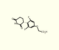 O=C(O)COc1cc(F)c([C@H]2CCC(=O)NC2=O)c(F)c1